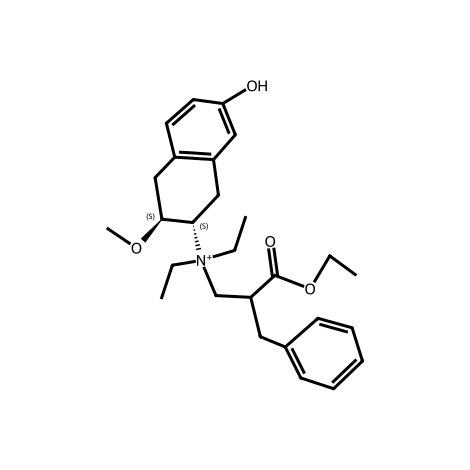 CCOC(=O)C(Cc1ccccc1)C[N+](CC)(CC)[C@H]1Cc2cc(O)ccc2C[C@@H]1OC